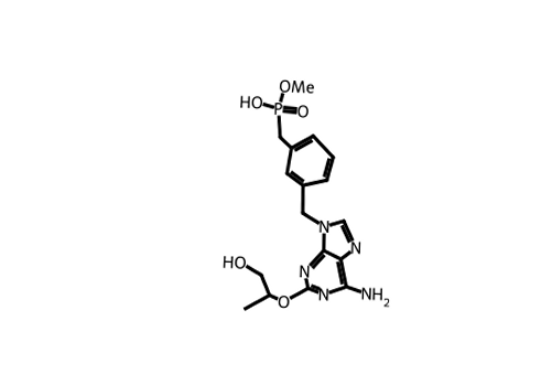 COP(=O)(O)Cc1cccc(Cn2cnc3c(N)nc(OC(C)CO)nc32)c1